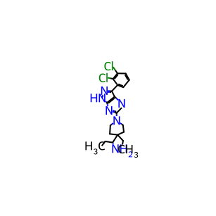 CC[C@@H](N)C1(CC)CCN(c2cnc3c(-c4cccc(Cl)c4Cl)n[nH]c3n2)CC1